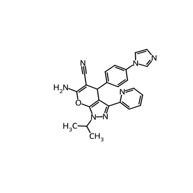 CC(C)n1nc(-c2ccccn2)c2c1OC(N)=C(C#N)C2c1ccc(-n2ccnc2)cc1